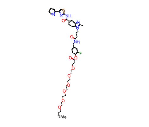 CNCCOCCOCCOCCOCCOCCOCCC(=O)Oc1ccc(CNC(=O)CCCn2c(C)nc3cc(C(=O)Nc4nc(-c5ccccn5)cs4)ccc32)cc1F